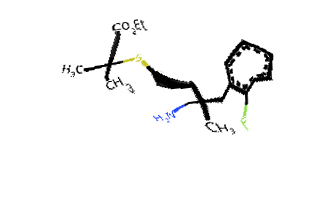 CCOC(=O)C(C)(C)SCCC(C)(N)c1ccccc1F